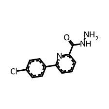 NNC(=O)c1cccc(-c2ccc(Cl)cc2)n1